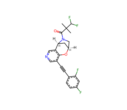 CC(C)(C(=O)N1C[C@@H]2C[C@H]1c1cncc(C#Cc3ccc(F)cc3F)c1O2)C(F)F